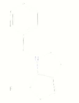 CC[C@H]1CC[C@]2(C)CCN(Cc3ccccc3)[C@]12C